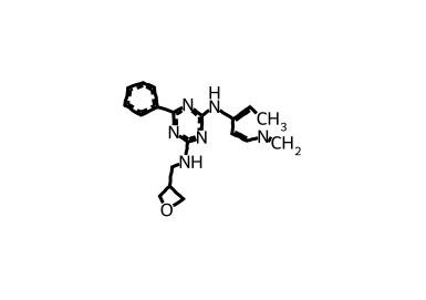 C=N/C=C\C(=C/C)Nc1nc(NCC2COC2)nc(-c2ccccc2)n1